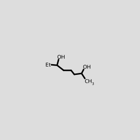 CCC(O)CCCC(C)O